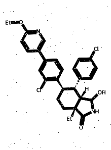 CCOc1ccc(-c2ccc([C@@H]3CC[C@@]4(CC)C(=O)NC(O)[C@H]4[C@H]3c3ccc(Cl)cc3)c(Cl)c2)cn1